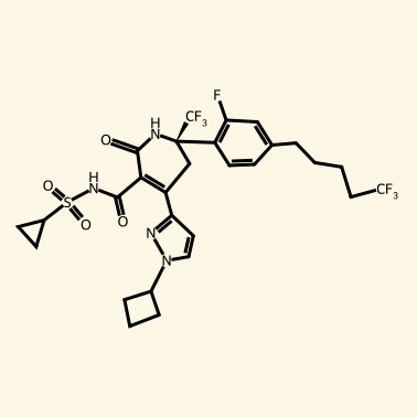 O=C1N[C@@](c2ccc(CCCCC(F)(F)F)cc2F)(C(F)(F)F)CC(c2ccn(C3CCC3)n2)=C1C(=O)NS(=O)(=O)C1CC1